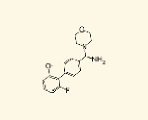 N[C@@H](c1ccc(-c2c([O])cccc2F)cc1)N1CCOCC1